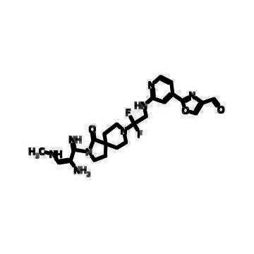 CN/C=C(/N)C(=N)N1CCC2(CCN(C(F)(F)CNc3cc(-c4nc(C=O)co4)ccn3)CC2)C1=O